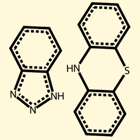 c1ccc2[nH]nnc2c1.c1ccc2c(c1)Nc1ccccc1S2